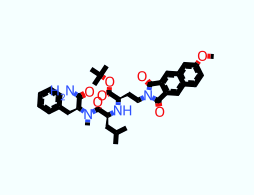 COc1ccc2cc3c(cc2c1)C(=O)N(CC[C@@H](N[C@@H](CC(C)C)C(=O)N(C)[C@@H](Cc1ccccc1)C(N)=O)C(=O)OC(C)(C)C)C3=O